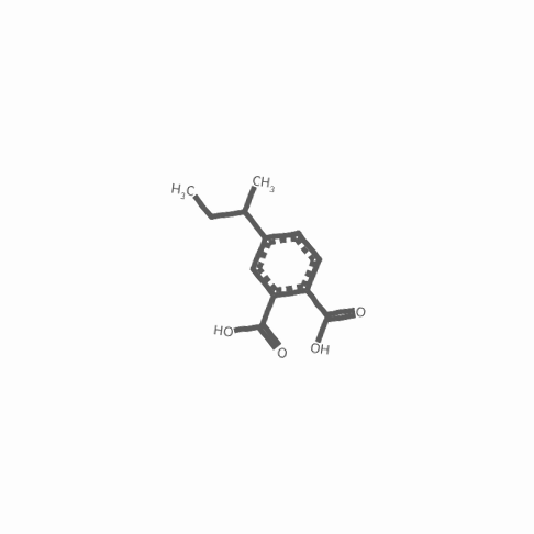 CCC(C)c1ccc(C(=O)O)c(C(=O)O)c1